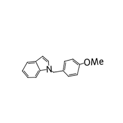 COc1ccc(Cn2ccc3ccccc32)cc1